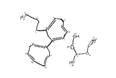 NCCc1ccccc1-c1ccccc1.OOB(O)OO